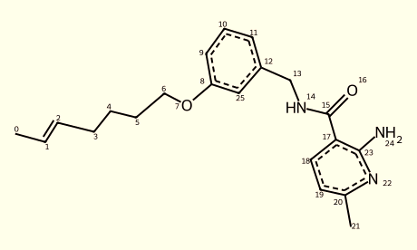 C/C=C/CCCCOc1cccc(CNC(=O)c2ccc(C)nc2N)c1